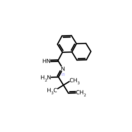 C=CC(C)(C)/C(N)=N/C(=N)c1cccc2c1C=CCC2